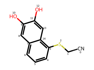 N#CCSc1cccc2cc(O)c(O)cc12